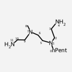 CCCCCN(CCN)CCN(C)CCN